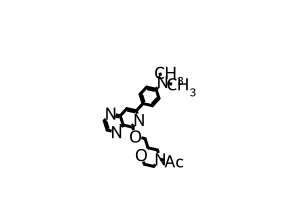 CC(=O)N1CCOC(COc2nc(-c3ccc(N(C)C)cc3)cc3nccnc23)C1